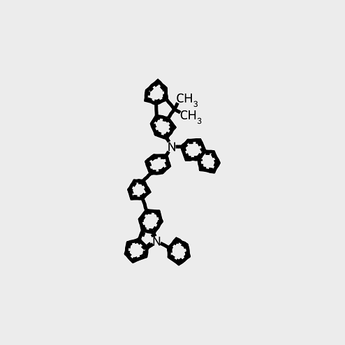 CC1(C)c2ccccc2-c2ccc(N(c3ccc(-c4cccc(-c5ccc6c(c5)c5ccccc5n6-c5ccccc5)c4)cc3)c3ccc4ccccc4c3)cc21